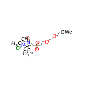 COCCOCCOCCS(=O)(=O)CCN1C(=O)C(C)(C)N(Cl)C1(C)C